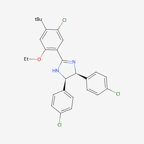 CCOc1cc(C(C)(C)C)c(Cl)cc1C1=N[C@@H](c2ccc(Cl)cc2)[C@@H](c2ccc(Cl)cc2)N1